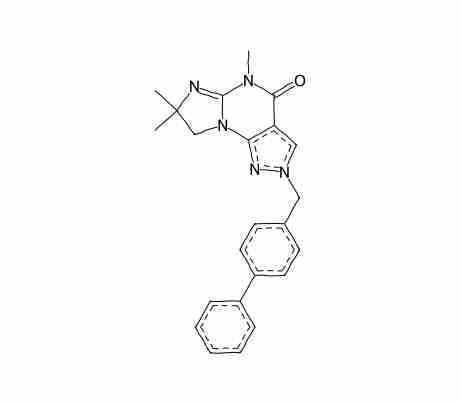 CN1C(=O)c2cn(Cc3ccc(-c4ccccc4)cc3)nc2N2CC(C)(C)N=C12